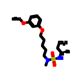 CCCCCCOc1cccc(OCCCCCN(C)S(=O)(=O)N[C@@H](CC)CC(=O)O)c1